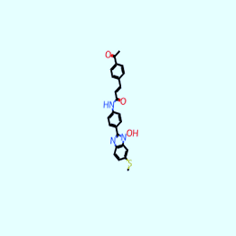 CSc1ccc2nc(-c3ccc(NC(=O)C=Cc4ccc(C(C)=O)cc4)cc3)n(O)c2c1